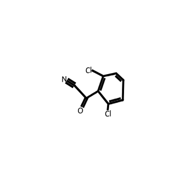 N#CC(=O)c1c(Cl)cccc1Cl